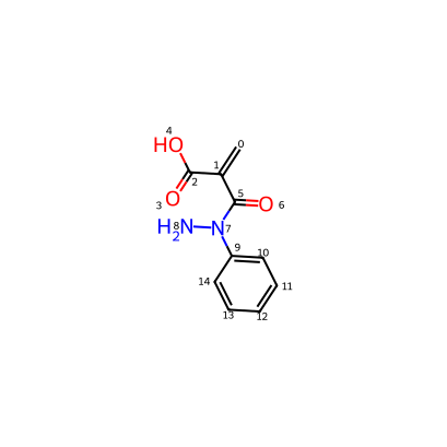 C=C(C(=O)O)C(=O)N(N)c1ccccc1